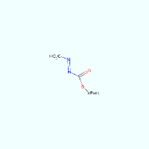 CCCCCOC(=O)N=NC(=O)O